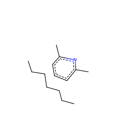 CCCCCCC.Cc1cccc(C)n1